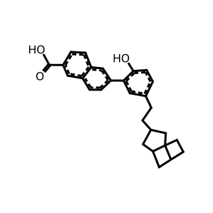 O=C(O)c1ccc2cc(-c3cc(CCC4CC5CC6CCC65C4)ccc3O)ccc2c1